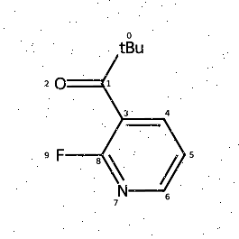 CC(C)(C)C(=O)c1cccnc1F